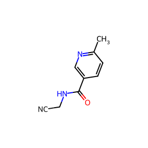 Cc1ccc(C(=O)NCC#N)cn1